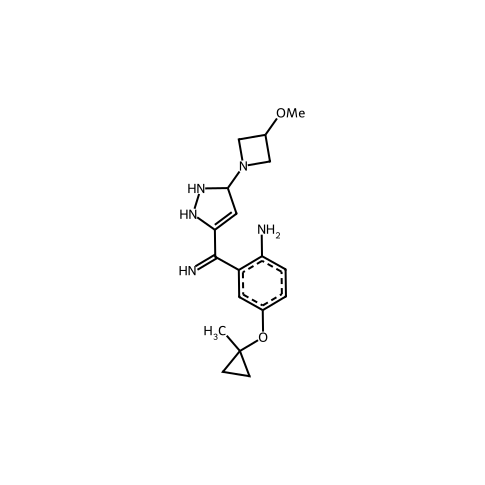 COC1CN(C2C=C(C(=N)c3cc(OC4(C)CC4)ccc3N)NN2)C1